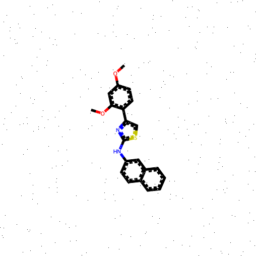 COc1ccc(-c2csc(Nc3ccc4ccccc4c3)n2)c(OC)c1